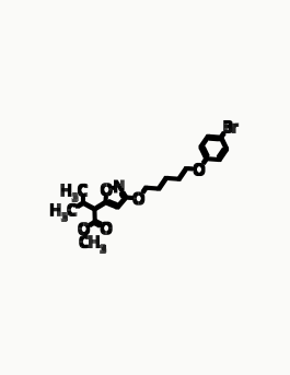 COC(=O)C(c1cc(OCCCCCOc2ccc(Br)cc2)no1)C(C)C